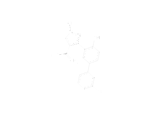 C=C(C)c1cn(C)nc1-c1cc(-c2cccc(Cl)c2)ccc1O